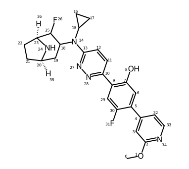 COc1cc(-c2cc(O)c(-c3ccc(N(C4CC4)C4C[C@H]5CC[C@H](N5)C4F)nn3)cc2F)ccn1